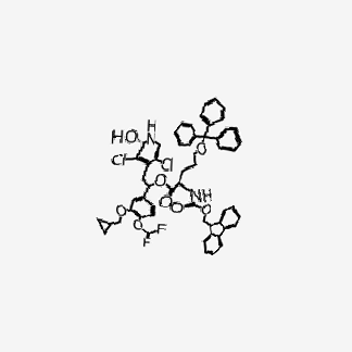 O=C(N[C@H](CCCOC(c1ccccc1)(c1ccccc1)c1ccccc1)C(=O)OC(CC1=C(Cl)[C@H](O)NC=C1Cl)c1ccc(OC(F)F)c(OCC2CC2)c1)OCC1c2ccccc2-c2ccccc21